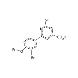 CC(C)Oc1ccc(-c2cc(C(=O)O)nc(S)n2)cc1Br